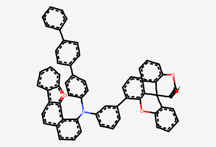 c1ccc(-c2ccc(-c3ccc(N(c4cccc(-c5cccc6c5Oc5ccccc5C65c6ccccc6Oc6ccccc65)c4)c4cccc5ccc6c7ccccc7oc6c45)cc3)cc2)cc1